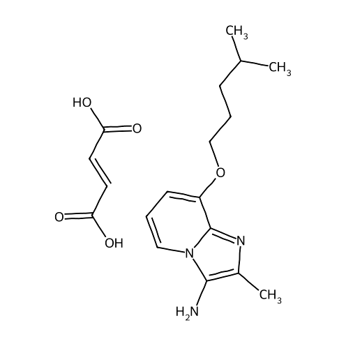 Cc1nc2c(OCCCC(C)C)cccn2c1N.O=C(O)C=CC(=O)O